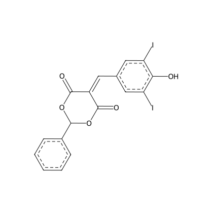 O=C1OC(c2ccccc2)OC(=O)C1=Cc1cc(I)c(O)c(I)c1